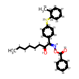 CCCCCCC(=O)C(=NOC(=O)c1ccccc1)c1ccc(Sc2ccccc2C)cc1